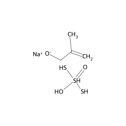 C=C(C)C[O-].O=[SH](O)(S)S.[Na+]